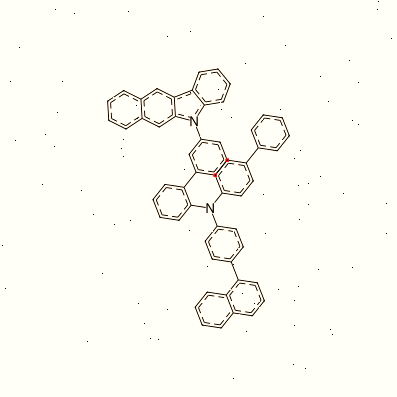 c1ccc(-c2ccc(N(c3ccc(-c4cccc5ccccc45)cc3)c3ccccc3-c3cccc(-n4c5ccccc5c5cc6ccccc6cc54)c3)cc2)cc1